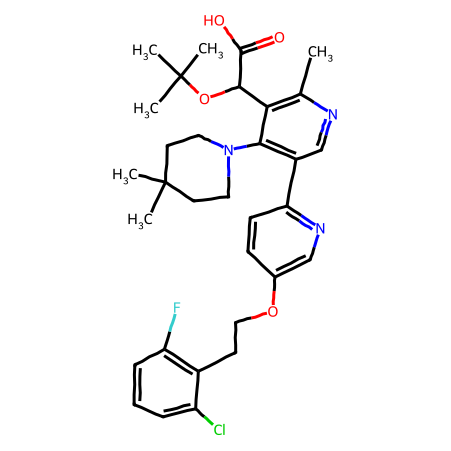 Cc1ncc(-c2ccc(OCCc3c(F)cccc3Cl)cn2)c(N2CCC(C)(C)CC2)c1C(OC(C)(C)C)C(=O)O